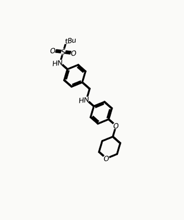 CC(C)(C)S(=O)(=O)Nc1ccc(CNc2ccc(OC3CCOCC3)cc2)cc1